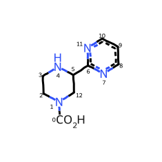 O=C(O)N1CCNC(c2ncccn2)C1